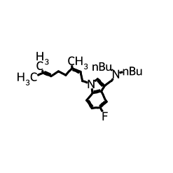 CCCCN(CCCC)Cc1cn(CC=C(C)CCC=C(C)C)c2ccc(F)cc12